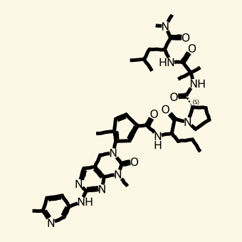 CCCC(NC(=O)c1ccc(C)c(N2Cc3cnc(Nc4ccc(C)nc4)nc3N(C)C2=O)c1)C(=O)N1CCC[C@H]1C(=O)NC(C)(C)C(=O)NC(CC(C)C)C(=O)N(C)C